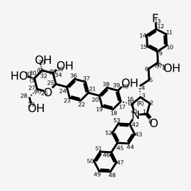 O=C1C[C@@H](CCC[C@@H](O)c2ccc(F)cc2)[C@@H](c2ccc(-c3ccc(C4O[C@H](CO)[C@@H](O)[C@H](O)[C@H]4O)cc3)cc2O)N1c1ccc(-c2ccccc2)cc1